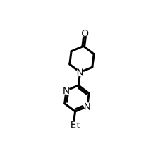 CCc1cnc(N2CCC(=O)CC2)cn1